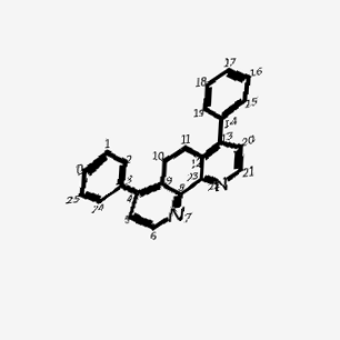 c1ccc(-c2ccnc3c2CCc2c(-c4ccccc4)ccnc2-3)cc1